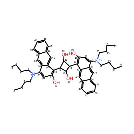 CCCCN(CCCC)c1cc(O)c(C2C(O)C(c3c(O)cc(N(CCCC)CCCC)c4cc5ccccc5cc34)C2O)c2cc3ccccc3cc12